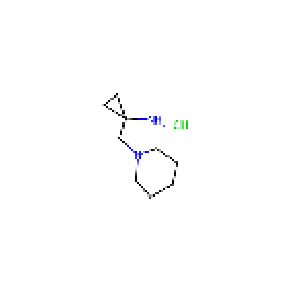 Cl.NC1(CN2CCCCC2)CC1